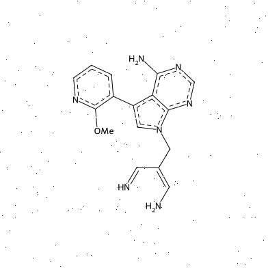 COc1ncccc1-c1cn(C/C(C=N)=C/N)c2ncnc(N)c12